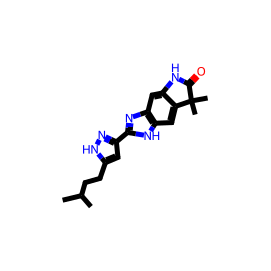 CC(C)CCc1cc(-c2nc3cc4c(cc3[nH]2)C(C)(C)C(=O)N4)n[nH]1